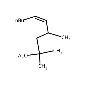 CCCC/C=C\C(C)CC(C)(C)OC(C)=O